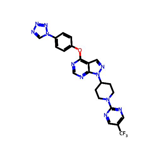 FC(F)(F)c1cnc(N2CCC(n3ncc4c(Oc5ccc(-n6cnnn6)cc5)ncnc43)CC2)nc1